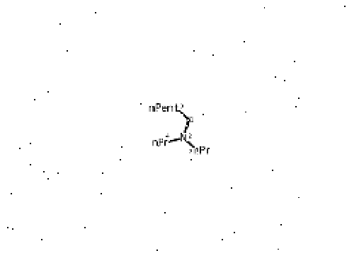 CCCCC[CH]N(CCC)CCC